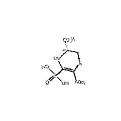 CCCCCCCCC1=C(P(=O)(O)O)N[C@H](C(=O)O)CS1